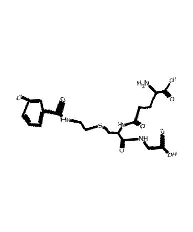 NC(CCC(=O)NC(CSCCNC(=O)c1cccc(Cl)c1)C(=O)NCC(=O)O)C(=O)O